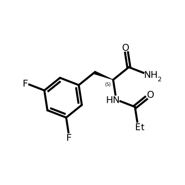 CCC(=O)N[C@@H](Cc1cc(F)cc(F)c1)C(N)=O